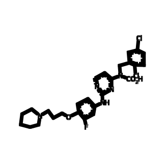 O=C(O)N(Cc1cc(Cl)ccc1Cl)c1ccnc(Nc2ccc(OCCCN3CCCCC3)c(F)c2)n1